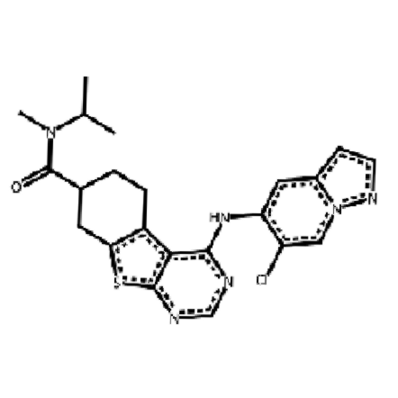 CC(C)N(C)C(=O)C1CCc2c(sc3ncnc(Nc4cc5ccnn5cc4Cl)c23)C1